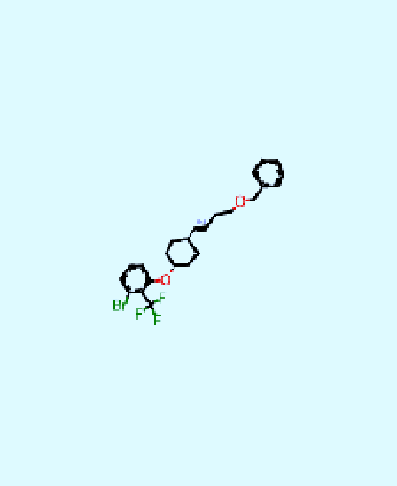 FC(F)(F)c1c(Br)cccc1O[C@H]1CC[C@H](/C=C/CCOCc2ccccc2)CC1